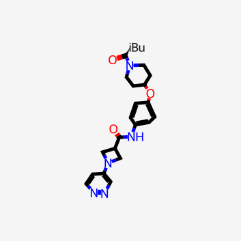 CC[C@H](C)C(=O)N1CCC(Oc2ccc(NC(=O)C3CN(c4ccnnc4)C3)cc2)CC1